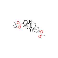 CC(=O)O[C@H]1CC[C@@]2(C)C(=CC[C@@H]3[C@@H]2CC[C@]2(C)C(B4OC(C)(C)C(C)(C)O4)=CC[C@@H]32)C1